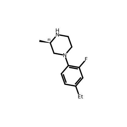 CCc1ccc(N2CCN[C@H](C)C2)c(F)c1